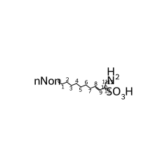 CCCCCCCCCCCCCCCC/C=C/C(CN)S(=O)(=O)O